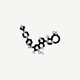 C=C1/C=C2/C(=O)N(c3cncc(-c4cc(Nc5ccc(N6CCN(C7COC7)CC6)cn5)c(=O)n(C)c4)c3CO)C=CN2CCCCC1